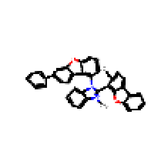 Cc1ccc2c(oc3ccccc32)c1-c1n(-c2cccc3oc4cc(-c5ccccc5)ccc4c23)c2ccccc2[n+]1C